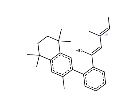 C/C=C(\C)C=C(O)c1ccccc1-c1cc2c(cc1C)C(C)(C)CCC2(C)C